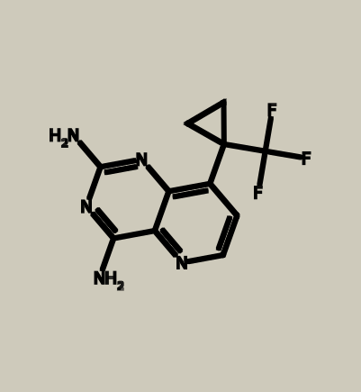 Nc1nc(N)c2nccc(C3(C(F)(F)F)CC3)c2n1